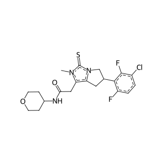 Cn1c(CC(=O)NC2CCOCC2)c2n(c1=S)CC(c1c(F)ccc(Cl)c1F)C2